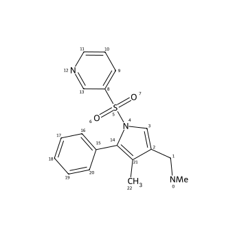 CNCc1cn(S(=O)(=O)c2cccnc2)c(-c2ccccc2)c1C